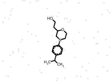 CC(C)c1ccc(N2CCOC(CCO)C2)cc1